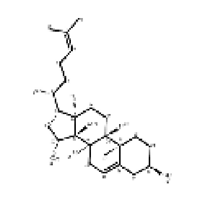 CC(C)=CCC[C@@H](C)[C@H]1C[C@@H](O)[C@H]2[C@@H]3CC=C4C[C@H](O)CC[C@]4(C)[C@H]3CC[C@@]21C